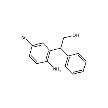 Nc1ccc(Br)cc1C(CO)c1ccccc1